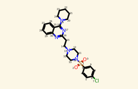 O=S(=O)(c1ccc(Cl)cc1)N1CCN(CCc2nc(N3CCCCC3)c3ccccc3n2)CC1